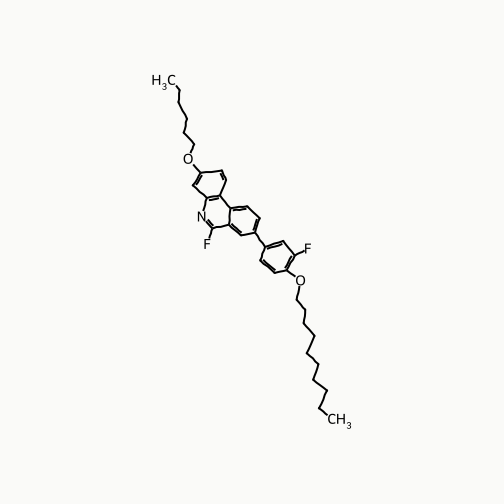 CCCCCCCCCCOc1ccc(-c2ccc3c(c2)c(F)nc2cc(OCCCCCC)ccc23)cc1F